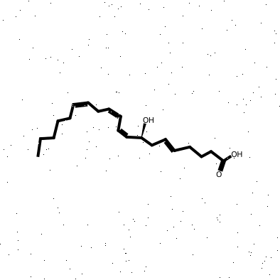 CCCCC/C=C\C/C=C\C=C/[C@@H](O)C/C=C/CCCC(=O)O